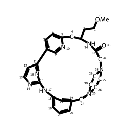 COCCC1Cc2ccc(cn2)-c2ccnc(n2)Nc2cccc(c2)CN2CCN(CC2)CC(=O)N1